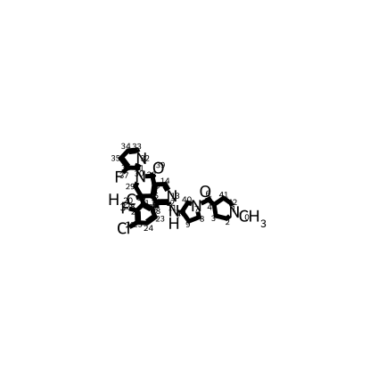 CN1CCC(C(=O)N2CC[C@@H](Nc3ncc4c(c3F)C(C)(c3cccc(Cl)c3F)CN(c3ncccc3F)C4=O)C2)CC1